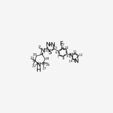 CN(c1nnc(-c2ccc(-n3ccnc3)cc2F)s1)C1CC(C)(C)NC(C)(C)C1